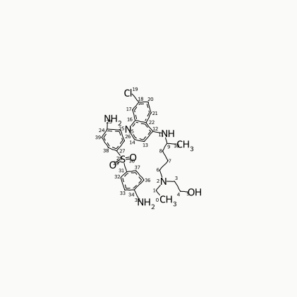 CCN(CCO)CCCC(C)Nc1ccnc2cc(Cl)ccc12.Nc1ccc(S(=O)(=O)c2ccc(N)cc2)cc1